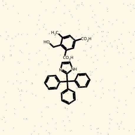 Cc1cc(C(=O)O)cc(C(=O)O)c1CO.c1ccc(C(c2ccccc2)(c2ccccc2)c2ncc[nH]2)cc1